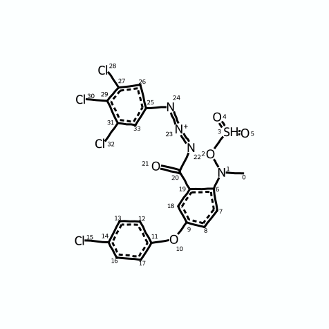 CN(O[SH](=O)=O)c1ccc(Oc2ccc(Cl)cc2)cc1C(=O)N=[N+]=Nc1cc(Cl)c(Cl)c(Cl)c1